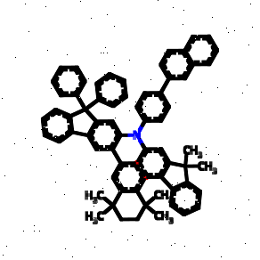 CC1(C)CCC(C)(C)c2cc(-c3cc4c(cc3N(c3ccc(-c5ccc6ccccc6c5)cc3)c3ccc5c(c3)C(C)(C)c3ccccc3-5)C(c3ccccc3)(c3ccccc3)c3ccccc3-4)ccc21